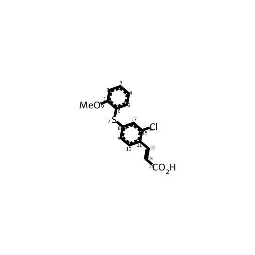 COc1ccccc1Sc1ccc(C=CC(=O)O)c(Cl)c1